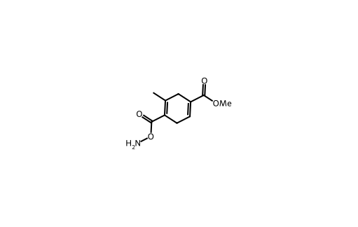 COC(=O)C1=CCC(C(=O)ON)=C(C)C1